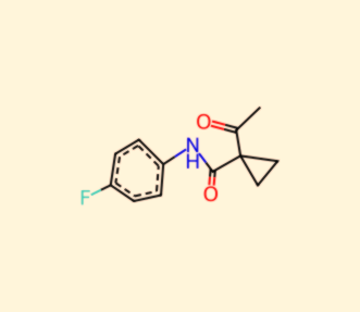 CC(=O)C1(C(=O)Nc2ccc(F)cc2)CC1